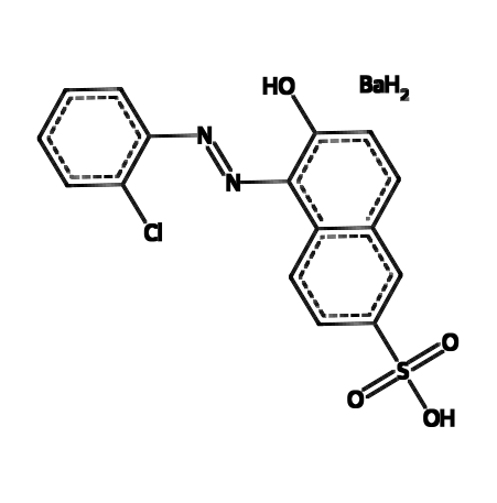 O=S(=O)(O)c1ccc2c(N=Nc3ccccc3Cl)c(O)ccc2c1.[BaH2]